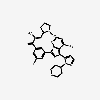 CN(CC1CCCN1C)C(=O)c1cc(F)cc(-c2cc(-c3ccnn3C3CCOCC3)c3c(N)ncnn23)c1